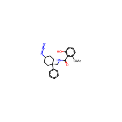 COc1cccc(O)c1C(=O)NC[C@]1(c2ccccc2)CC[C@H](N=[N+]=[N-])CC1